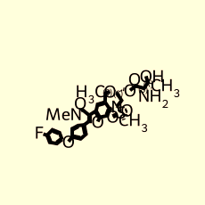 CNC(=O)c1c(-c2ccc(Oc3ccc(F)cc3)cc2)oc2cc3c(cc12)[C@H](C)O[C@H](COC(=O)[C@@H](N)[C@@H](C)O)CN3S(C)(=O)=O